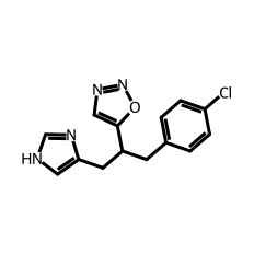 Clc1ccc(CC(Cc2c[nH]cn2)c2cnno2)cc1